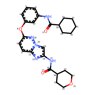 O=C(Nc1cccc(Oc2ccc3nc(NC(=O)C4CCOCC4)cn3n2)c1)C1CCCCC1